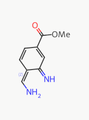 COC(=O)C1=CC(=N)/C(=C\N)C=C1